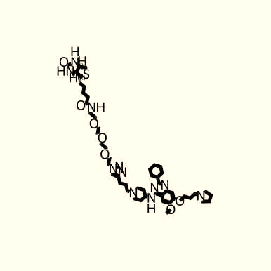 COc1cc2c(NC3CCN(CCCc4cn(CCOCCOCCOCCNC(=O)CCCC[C@H]5SC[C@H]6NC(=O)N[C@H]65)nn4)CC3)nc(C3CCCCC3)nc2cc1OCCCN1CCCC1